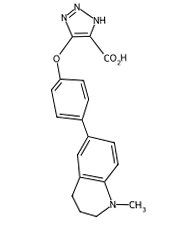 CN1CCCc2cc(-c3ccc(Oc4nn[nH]c4C(=O)O)cc3)ccc21